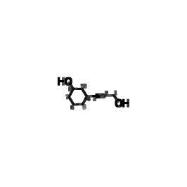 OCC#CC1CCCC(O)C1